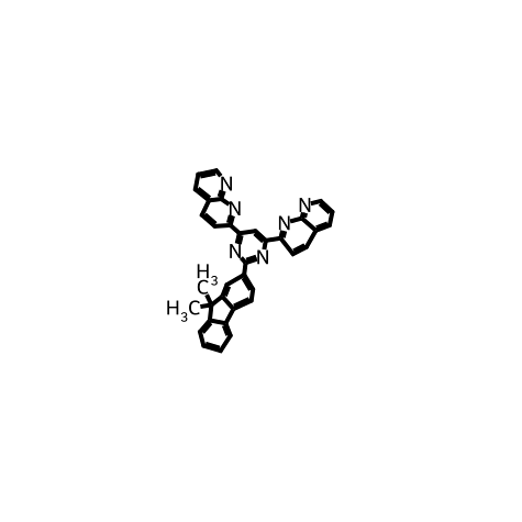 CC1(C)c2ccccc2-c2ccc(-c3nc(-c4ccc5cccnc5n4)cc(-c4ccc5cccnc5n4)n3)cc21